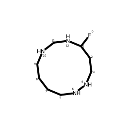 FC1CCNNCCCCNCN1